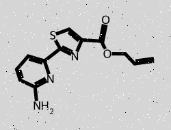 C=CCOC(=O)c1csc(-c2cccc(N)n2)n1